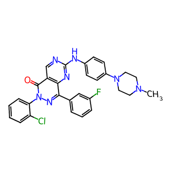 CN1CCN(c2ccc(Nc3ncc4c(=O)n(-c5ccccc5Cl)nc(-c5cccc(F)c5)c4n3)cc2)CC1